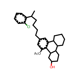 CC(=O)Oc1cc(CCCCC(C)c2ccccc2Cl)cc2c1C1CC(O)CCC1C1CCCCC21